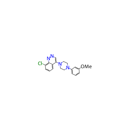 COc1cccc(N2CCN(c3cnnc4c(Cl)cccc34)CC2)c1